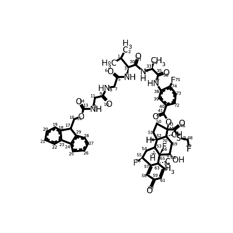 CC(C)[C@H](NC(=O)CNC(=O)CNC(=O)OCC1c2ccccc2-c2ccccc21)C(=O)N[C@@H](C)C(=O)Nc1cc(C(=O)O[C@]2(C(=O)SCF)CC[C@H]3[C@@H]4C[C@H](F)C5=CC(=O)C=C[C@]5(C)[C@@]4(F)[C@@H](O)C[C@@]32C)ccc1F